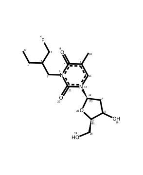 CCC(CF)Cn1c(=O)c(C)cn([C@H]2CC(O)[C@@H](CO)O2)c1=O